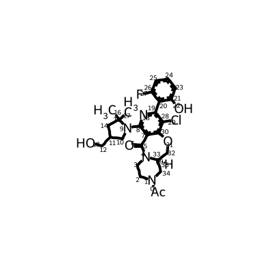 CC(=O)N1CCN2C(=O)c3c(N4CC(CO)CC4(C)C)nc(-c4c(O)cccc4F)c(Cl)c3OC[C@H]2C1